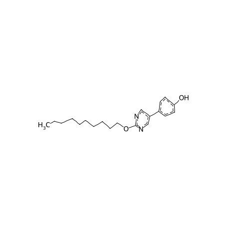 CCCCCCCCCCOc1ncc(-c2ccc(O)cc2)cn1